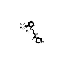 CC(C)(C)c1ccccc1OCCNC(=O)C1CCNCC1